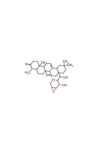 CC1C(=O)CCC2(C)C1CCC1(C)C3CCC4(C(O)C5OCC6OC6C5O)CCC(C)(C)CC4C3=CCC12